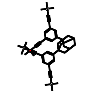 C[Si](C)(C)C#Cc1cc(C#C[Si](C)(C)C)cc(C23CC4CC(C2)CC(c2cc(C#C[Si](C)(C)C)cc(C#C[Si](C)(C)C)c2)(C4)C3)c1